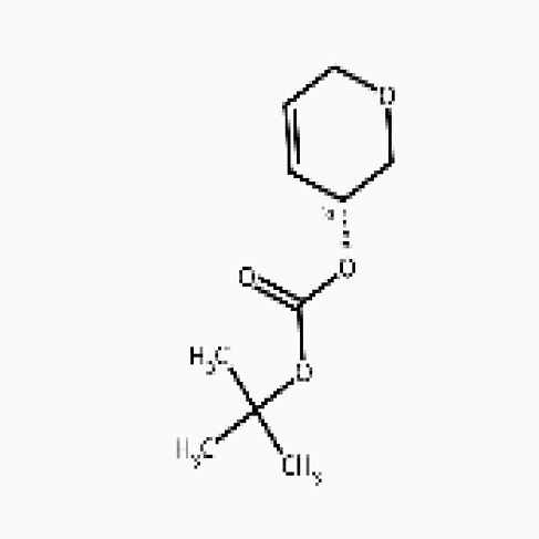 CC(C)(C)OC(=O)O[C@@H]1C=CCOC1